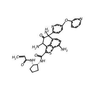 C=CC(=O)N[C@H]1CCC[C@H]1NC(=O)c1sc2c(N)ccc3c2c1C(N)C(=O)C3(N)c1ccc(Oc2cccnc2)cn1